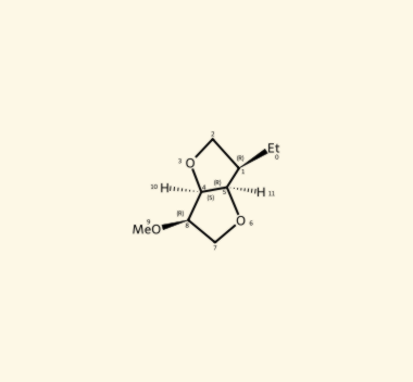 CC[C@@H]1CO[C@H]2[C@@H]1OC[C@H]2OC